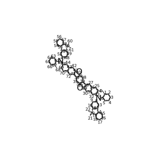 Cc1ccccc1N(c1ccc2c(c1)-c1ccccc1C2(C)C)c1ccc2cc3c(cc2c1)oc1cc2c(cc13)oc1cc3cc(N(c4ccc5c(c4)-c4ccccc4C5(C)C)c4ccccc4C)ccc3cc12